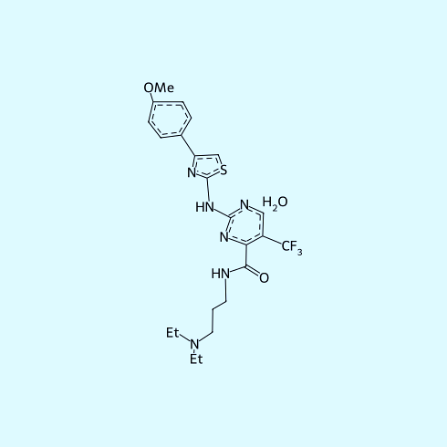 CCN(CC)CCCNC(=O)c1nc(Nc2nc(-c3ccc(OC)cc3)cs2)ncc1C(F)(F)F.O